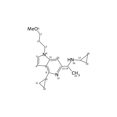 COCCCn1ccc2c(C3CC3)nc(C(C)NC3CC3)cc21